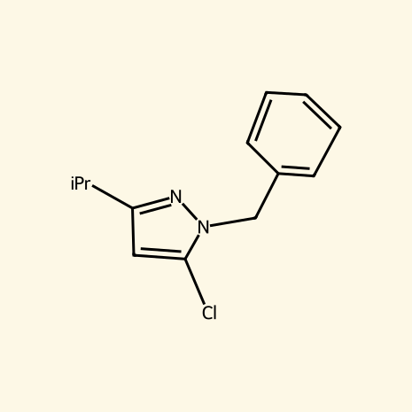 CC(C)c1cc(Cl)n(Cc2ccccc2)n1